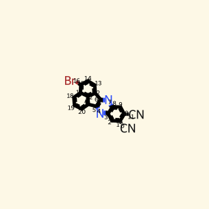 N#Cc1cc2nc3c(nc2cc1C#N)-c1ccc(Br)c2cccc-3c12